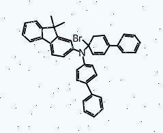 CC1(C)c2ccccc2-c2ccc(N(c3ccc(-c4ccccc4)cc3)C3(Br)C=CC(c4ccccc4)=CC3)cc21